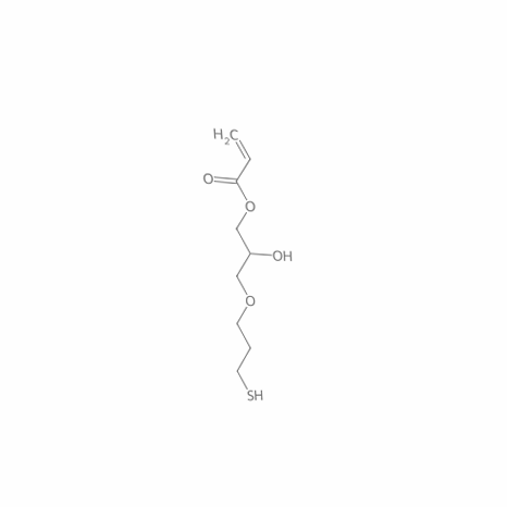 C=CC(=O)OCC(O)COCCCS